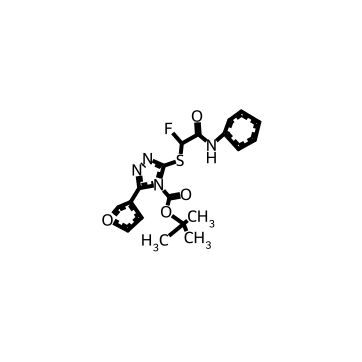 CC(C)(C)OC(=O)n1c(SC(F)C(=O)Nc2ccccc2)nnc1-c1ccoc1